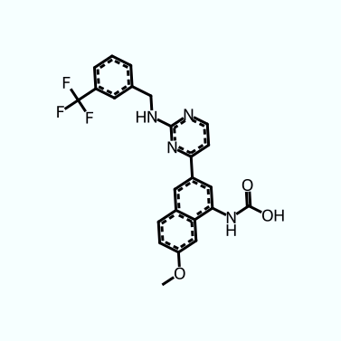 COc1ccc2cc(-c3ccnc(NCc4cccc(C(F)(F)F)c4)n3)cc(NC(=O)O)c2c1